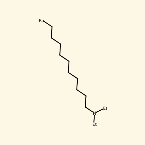 CCN(CC)CCCCCCCCCCC(C)(C)C